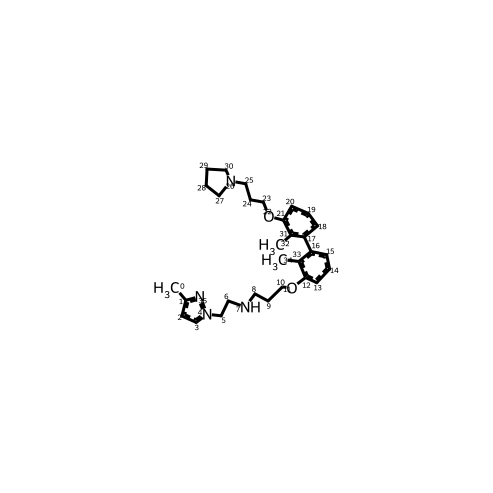 Cc1ccn(CCNCCCOc2cccc(-c3cccc(OCCCN4CCCC4)c3C)c2C)n1